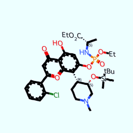 CCOC(=O)[C@H](C)NP(=O)(OCC)Oc1cc(O)c2c(=O)cc(-c3ccccc3Cl)oc2c1[C@H]1CCN(C)C[C@H]1O[Si](C)(C)C(C)(C)C